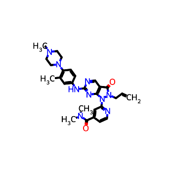 C=CCn1c(=O)c2cnc(Nc3ccc(N4CCN(C)CC4)c(C)c3)nc2n1-c1cc(C(=O)N(C)C)ccn1